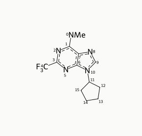 CNc1nc(C(F)(F)F)nc2c1ncn2C1CCCC1